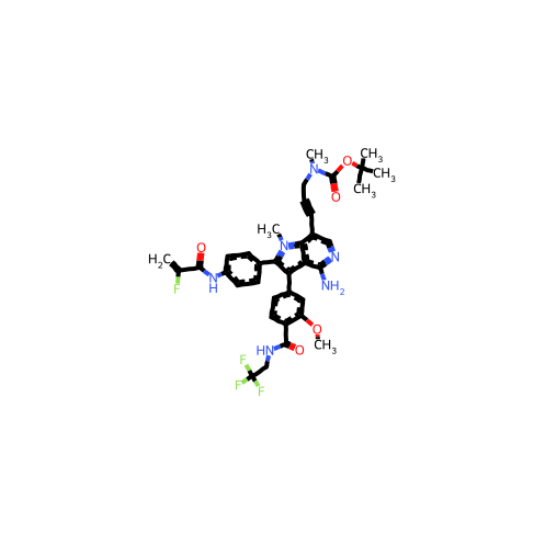 C=C(F)C(=O)Nc1ccc(-c2c(-c3ccc(C(=O)NCC(F)(F)F)c(OC)c3)c3c(N)ncc(C#CCN(C)C(=O)OC(C)(C)C)c3n2C)cc1